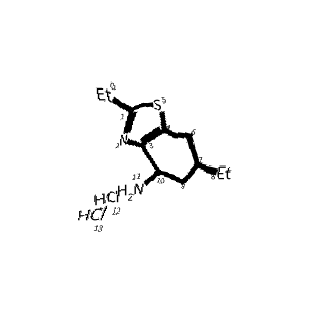 CCc1nc2c(s1)CC(CC)CC2N.Cl.Cl